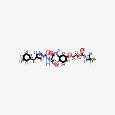 CN1C(=O)[C@@H](NC(=O)n2cc(Cc3cccc(F)c3)cn2)COc2ccc(OCCOC(=O)N3CC(F)(F)C3)cc21